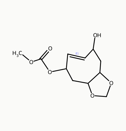 COC(=O)OC1/C=C/C(O)CC2OCOC2C1